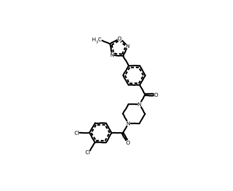 Cc1nc(-c2ccc(C(=O)N3CCN(C(=O)c4ccc(Cl)c(Cl)c4)CC3)cc2)no1